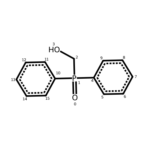 O=P(CO)(c1ccccc1)c1ccccc1